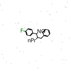 CCCC(Cc1ccccc1)C(N=O)c1ccc(F)cc1